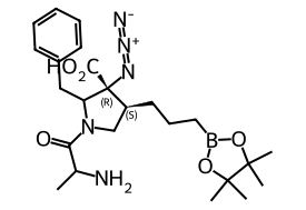 CC(N)C(=O)N1C[C@H](CCCB2OC(C)(C)C(C)(C)O2)[C@](N=[N+]=[N-])(C(=O)O)C1Cc1ccccc1